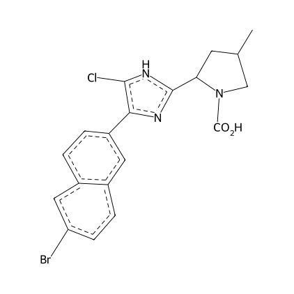 CC1CC(c2nc(-c3ccc4cc(Br)ccc4c3)c(Cl)[nH]2)N(C(=O)O)C1